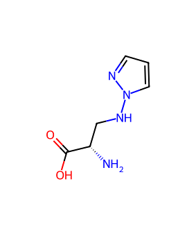 N[C@@H](CNn1cccn1)C(=O)O